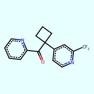 O=C(c1ccccn1)C1(c2ccnc(C(F)(F)F)c2)CCC1